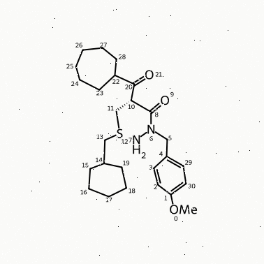 COc1ccc(CN(N)C(=O)[C@H](CSCC2CCCCC2)C(=O)C2CCCCCC2)cc1